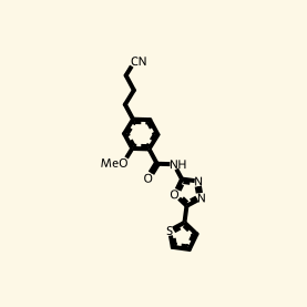 COc1cc(CCCC#N)ccc1C(=O)Nc1nnc(-c2cccs2)o1